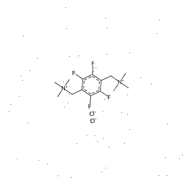 C[N+](C)(C)Cc1c(F)c(F)c(C[N+](C)(C)C)c(F)c1F.[Cl-].[Cl-]